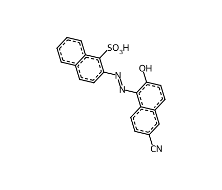 N#Cc1ccc2c(N=Nc3ccc4ccccc4c3S(=O)(=O)O)c(O)ccc2c1